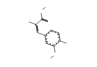 COC(=O)/C(Cl)=C\c1ccc(S)c(OC)c1